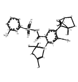 CC1CN(c2nc(C(C)(C)C)c(C3=CC4CCC3(C)C4(C)C)cc2C(=O)NS(=O)(=O)c2cccc(N)n2)C(C)(C)C1